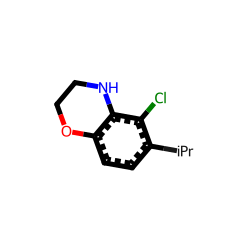 CC(C)c1ccc2c(c1Cl)NCCO2